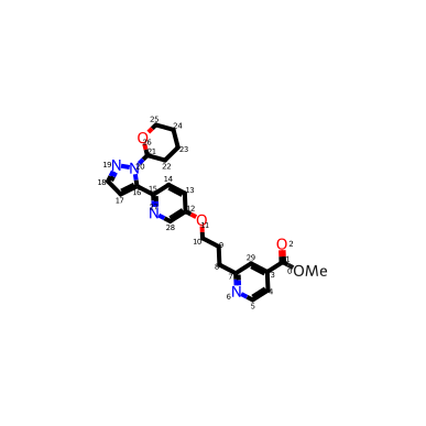 COC(=O)c1ccnc(CCCOc2ccc(-c3ccnn3C3CCCCO3)nc2)c1